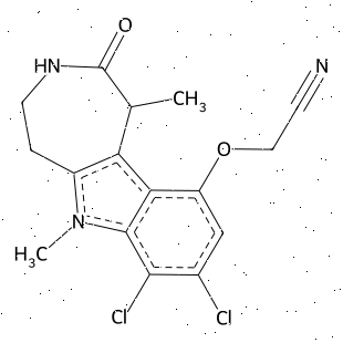 CC1C(=O)NCCc2c1c1c(OCC#N)cc(Cl)c(Cl)c1n2C